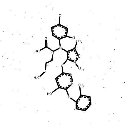 CSCC[C@@H](C(=O)O)N(c1ccc(Cl)cc1Cl)c1c(C)nn(C)c1Oc1cc(O)c(Oc2ccccc2C)nn1